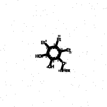 CCCCCCOc1c(O)c(O)c(CC)c(CC)c1CC